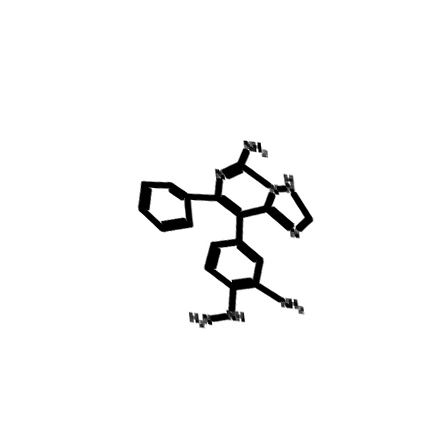 NNc1ccc(C2=C(c3ccccc3)N=C(N)N3NCN=C23)cc1N